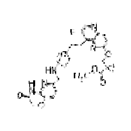 COC(=O)C1(COc2ccc3ncc(F)c(CCC45CCC(NCc6ccc7c(n6)NC(=O)CO7)(CC4)CO5)c3n2)CC1